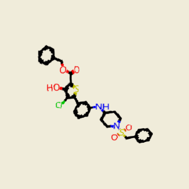 O=C(OCc1ccccc1)c1sc(-c2cccc(NC3CCN(S(=O)(=O)Cc4ccccc4)CC3)c2)c(Cl)c1O